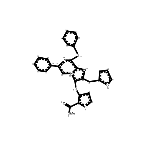 COC(=O)c1occc1Oc1c(Cc2ccco2)nc2c(Sc3ccccc3)nc(-c3ccccc3)cn12